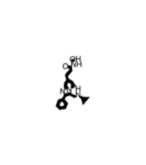 O=C(C=Cc1ccn2c(CNC3CC3)c(-c3ccccc3)nc2c1)NO